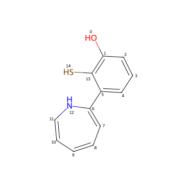 Oc1cccc(C2=CC=CC=CN2)c1S